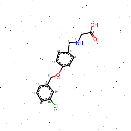 O=C(O)CNCc1ccc(OCc2cccc(Cl)c2)cc1